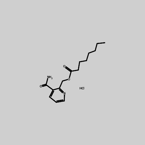 CCCCCCCC(=O)OCc1ncccc1C(N)=O.Cl